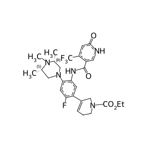 CCOC(=O)N1CCC=C(c2cc(NC(=O)c3c[nH]c(=O)cc3C(F)(F)F)c(N3C[C@@H](C)N(C)[C@@H](C)C3)cc2F)C1